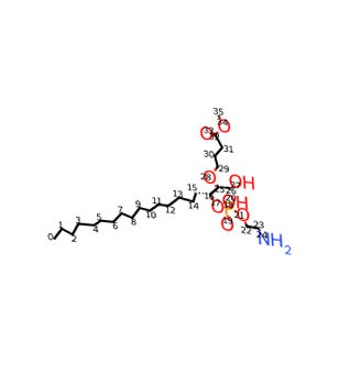 CCCCCCCCCCCCCCCC[C@@H](OP(=O)(O)OCCN)[C@H](CO)OCCCC(=O)OC